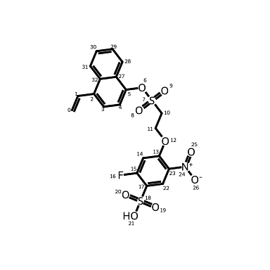 C=Cc1ccc(OS(=O)(=O)CCOc2cc(F)c(S(=O)(=O)O)cc2[N+](=O)[O-])c2ccccc12